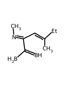 B=C(B)C(/C=C(\C)CC)=N/C